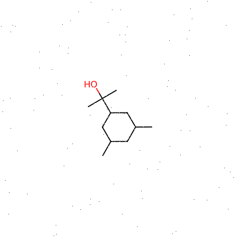 CC1CC(C)CC(C(C)(C)O)C1